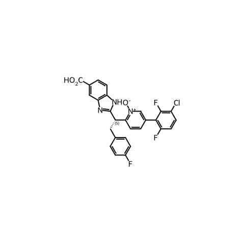 O=C(O)c1ccc2[nH]c([C@@H](Cc3ccc(F)cc3)c3ccc(-c4c(F)ccc(Cl)c4F)c[n+]3[O-])nc2c1